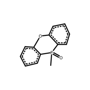 CP1(=O)c2ccccc2Oc2ccccc21